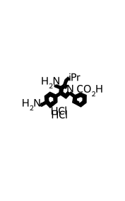 CC(C)Cc1nc(-c2ccccc2C(=O)O)cc(-c2ccc(CN)cc2)c1CN.Cl.Cl